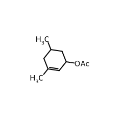 CC(=O)OC1C=C(C)CC(C)C1